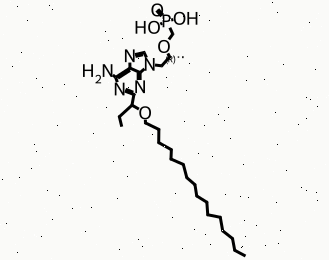 CCCCCCCCCCCCCCCCOC(CC)c1nc(N)c2ncn(C[C@@H](C)OCP(=O)(O)O)c2n1